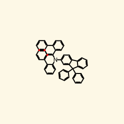 c1ccc(-c2ccccc2N(c2ccc3c(c2)C(c2ccccc2)(c2ccccc2)c2ccccc2-3)c2cc3ccccc3c3ccccc23)cc1